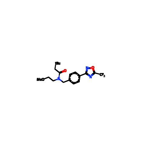 COCCN(Cc1ccc(-c2noc(C(F)(F)F)n2)cc1)C(=O)CC(C)(C)C